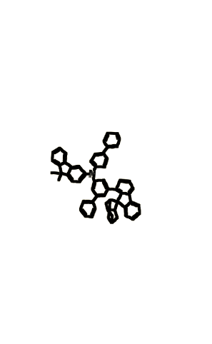 CC1(C)c2ccccc2-c2cc(N(c3ccc(-c4ccccc4)cc3)c3cc(-c4ccccc4)cc(-c4cccc5c4C4(c6ccccc6-5)C5CC6CC(C5)C4C6)c3)ccc21